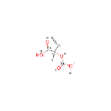 C=CC(C)(OC(=O)OC)C(=O)O